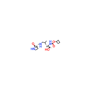 CC(CNC[C@@H]1CCNC1=O)C[C@H](NC(=O)OC1CCC1)[C@H](C)O